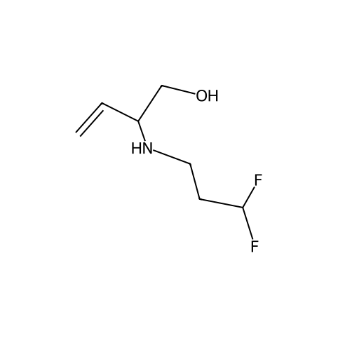 C=CC(CO)NCCC(F)F